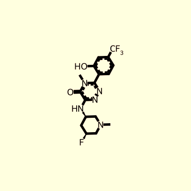 CN1C[C@@H](F)C[C@@H](Nc2nnc(-c3ccc(C(F)(F)F)cc3O)n(C)c2=O)C1